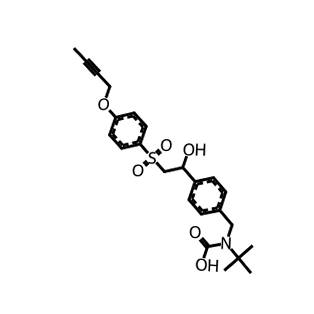 CC#CCOc1ccc(S(=O)(=O)CC(O)c2ccc(CN(C(=O)O)C(C)(C)C)cc2)cc1